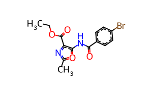 CCOC(=O)c1nc(C)oc1NC(=O)c1ccc(Br)cc1